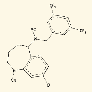 CC(=O)N(Cc1cc(C(F)(F)F)cc(C(F)(F)F)c1)C1CCCN(C#N)c2cc(Cl)ccc21